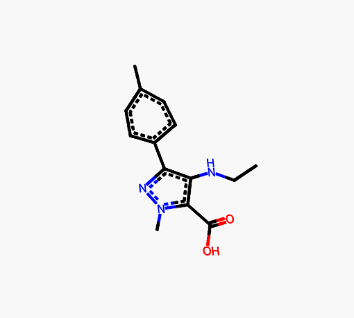 CCNc1c(-c2ccc(C)cc2)nn(C)c1C(=O)O